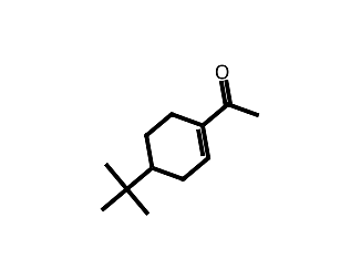 CC(=O)C1=CCC(C(C)(C)C)CC1